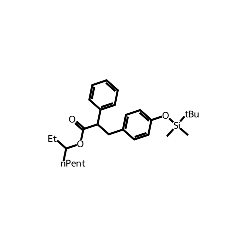 CCCCCC(CC)OC(=O)C(Cc1ccc(O[Si](C)(C)C(C)(C)C)cc1)c1ccccc1